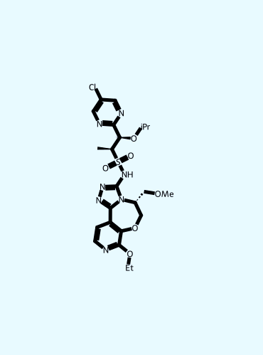 CCOc1nccc2c1OC[C@@H](COC)n1c(NS(=O)(=O)[C@@H](C)[C@H](OC(C)C)c3ncc(Cl)cn3)nnc1-2